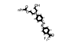 CCCC(=O)OCCN(CCO)c1ccc(/N=N/c2ccc(C(=O)C(F)(F)F)cc2)cc1